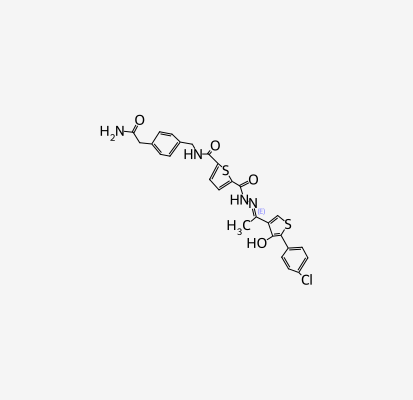 C/C(=N\NC(=O)c1ccc(C(=O)NCc2ccc(CC(N)=O)cc2)s1)c1csc(-c2ccc(Cl)cc2)c1O